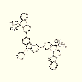 CC1(C)c2ccccc2-c2ccc(-c3ccc4c(c3)c3cc(-c5ccc6c(c5)-c5c(ccc7c5sc5ccccc57)C6(C)C)ccc3n4-c3ccccc3)cc21